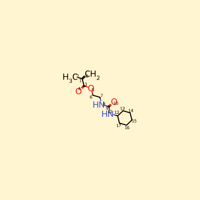 C=C(C)C(=O)OCCNC(=O)NC1CCCCC1